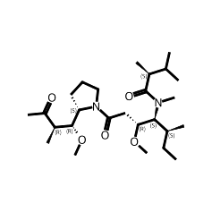 CC[C@H](C)[C@@H]([C@@H](CC(=O)N1CCC[C@H]1[C@H](OC)[C@@H](C)C(C)=O)OC)N(C)C(=O)[C@@H](C)C(C)C